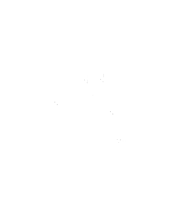 COc1ccccc1CNCc1cccc(NC(=O)Nc2ccc3c(ccn3C)c2)c1